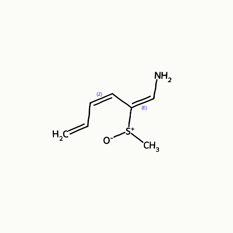 C=C/C=C\C(=C/N)[S+](C)[O-]